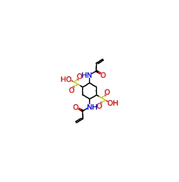 C=CC(=O)NC1CC(S(=O)(=O)O)C(NC(=O)C=C)CC1S(=O)(=O)O